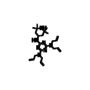 C=CCN(CC=C)c1nc(NC2CC(C)(C)NC(C)(C)C2)nc(N(CC=C)CC=C)n1